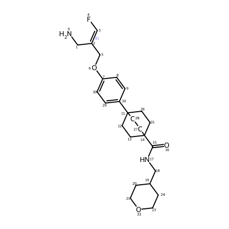 NC/C(=C\F)COc1ccc(C23CCC(C(=O)NCC4CCOCC4)(CC2)CC3)cc1